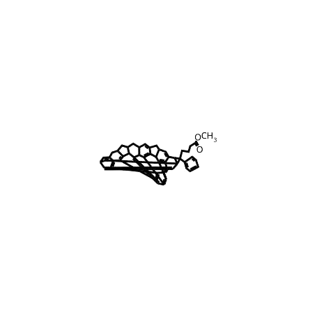 COC(=O)CCCC1(c2ccccc2)C2C3=CC4CC5=CC6CC7CC8CC9=CC%10CC21c1c%10c2c%10c%11c%12c%13c%14c%10c1C3=C%14C4C5=C%13C6C=%12C7C8=C%11C=29